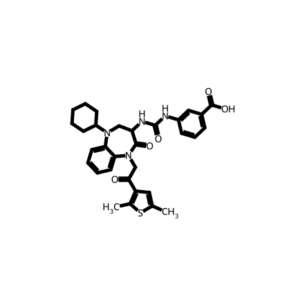 Cc1cc(C(=O)CN2C(=O)C(NC(=O)Nc3cccc(C(=O)O)c3)CN(C3CCCCC3)c3ccccc32)c(C)s1